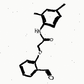 Cc1ccc(NC(=O)COc2ccccc2C=O)c(C)c1